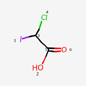 O=C(O)C(Cl)I